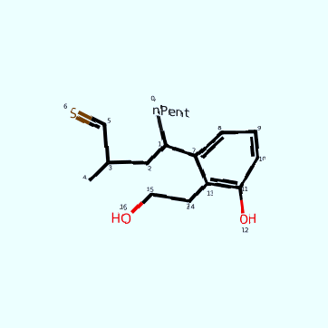 CCCCCC(CC(C)C=S)c1cccc(O)c1CCO